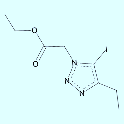 CCOC(=O)Cn1nnc(CC)c1I